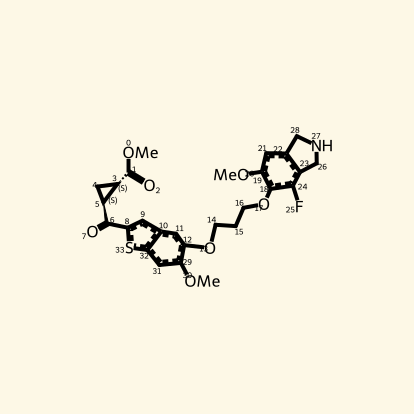 COC(=O)[C@H]1C[C@@H]1C(=O)c1cc2cc(OCCCOc3c(OC)cc4c(c3F)CNC4)c(OC)cc2s1